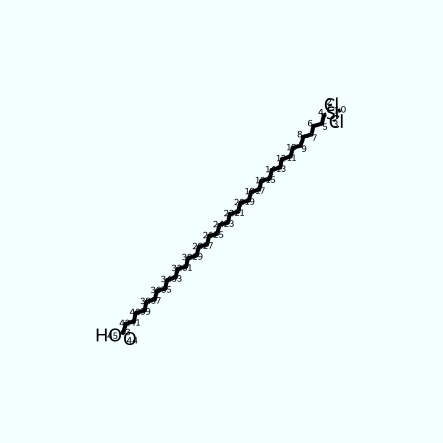 C[Si](Cl)(Cl)CCCCCCCCCCCCCCCCCCCCCCCCCCCCCCCCCCCCCCCC(=O)O